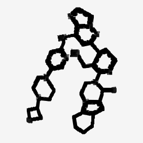 O=C1c2cc3c(n2CCN1c1nccc(-c2cc(Nc4ccc(N5CCN(C6COC6)CC5)cn4)c4nccn4n2)c1CO)CCCC3